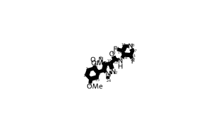 COc1ccc(OC)c(-c2c([N+](=O)[O-])c(C(=O)Nc3c(F)cncc3F)nn2C)c1